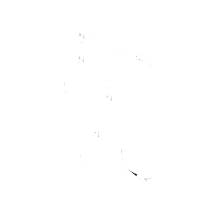 Nc1cnn2ccc(N3CCC[C@H](O)C3)nc12